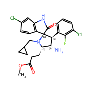 COC(=O)CC[C@H]1[C@@H](N)[C@H](c2cccc(Cl)c2F)[C@]2(C(=O)Nc3cc(Cl)ccc32)N1CC1CC1